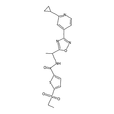 CCS(=O)(=O)c1ccc(C(=O)NC(C)c2nc(-c3ccnc(C4CC4)c3)no2)s1